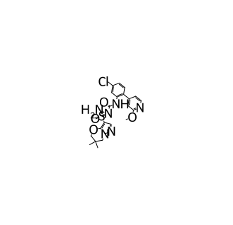 COc1cc(-c2ccc(Cl)cc2NC(=O)N=[S@](N)(=O)c2cnn3c2OCC(C)(C)C3)ccn1